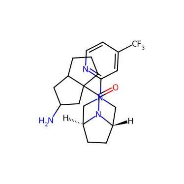 NC1CC2CCCC2(C(=O)N2[C@H]3CC[C@H]2CN(c2cc(C(F)(F)F)ccn2)C3)C1